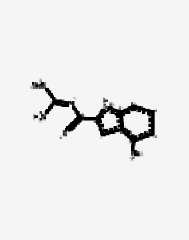 CNC(N)=NC(=O)c1cc2c(C(C)(C)C)cccc2[nH]1